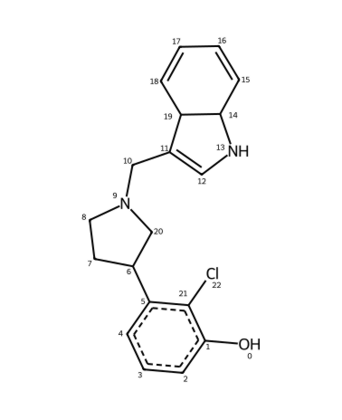 Oc1cccc(C2CCN(CC3=CNC4C=CC=CC34)C2)c1Cl